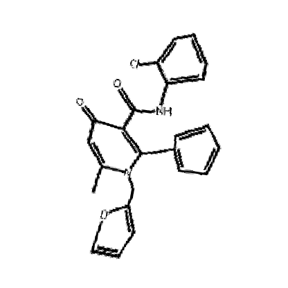 Cc1cc(=O)c(C(=O)Nc2ccccc2Cl)c(-c2ccccc2)n1Cc1ccco1